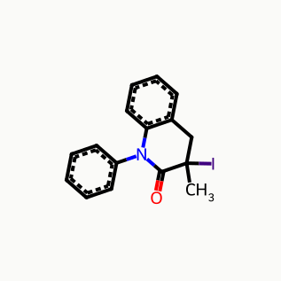 CC1(I)Cc2ccccc2N(c2ccccc2)C1=O